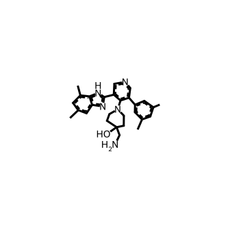 Cc1cc(C)cc(-c2cncc(-c3nc4cc(C)cc(C)c4[nH]3)c2N2CCC(O)(CN)CC2)c1